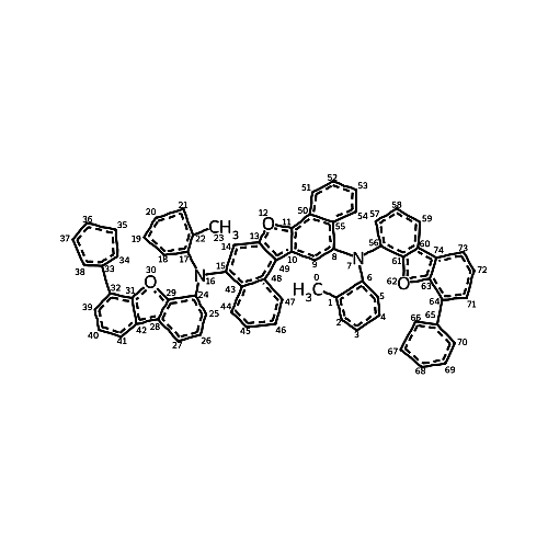 Cc1ccccc1N(c1cc2c(oc3cc(N(c4ccccc4C)c4cccc5c4oc4c(-c6ccccc6)cccc45)c4ccccc4c32)c2ccccc12)c1cccc2c1oc1c(-c3ccccc3)cccc12